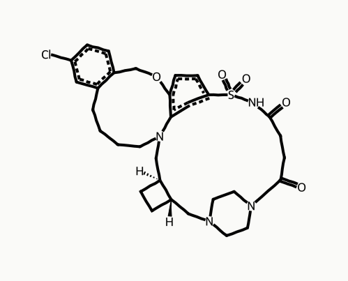 O=C1CCC(=O)N2CCN(CC2)C[C@@H]2CC[C@H]2CN2CCCCc3cc(Cl)ccc3COc3ccc(cc32)S(=O)(=O)N1